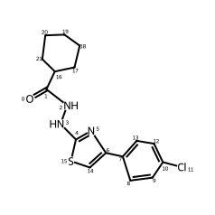 O=C(NNc1nc(-c2ccc(Cl)cc2)cs1)C1CCCCC1